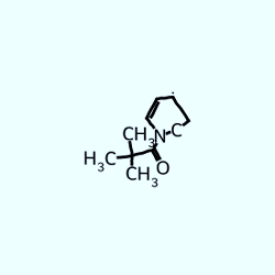 CC(C)(C)C(=O)N1C=C[CH]CC1